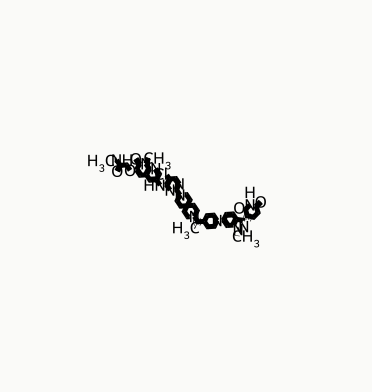 CNC(=O)COc1cc2cc(Nc3nc(N4CCC5(CC4)CCN([C@@H](C)C4CCN(c6ccc7c([C@H]8CCC(=O)NC8=O)nn(C)c7c6)CC4)CC5)ncc3Cl)cnc2n(C)c1=O